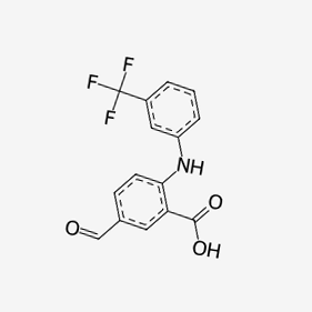 O=Cc1ccc(Nc2cccc(C(F)(F)F)c2)c(C(=O)O)c1